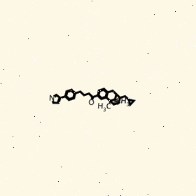 C[C@H]1C2Cc3ccc(C(=O)CCCc4ccc(C5=CCN=C5)cc4)cc3[C@@]1(C)CCC2CC1CC1